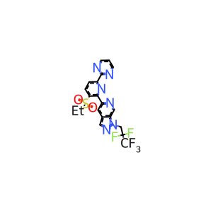 CCS(=O)(=O)c1ccc(-c2ncccn2)nc1-c1cc2cnn(CC(F)(F)C(F)(F)F)c2cn1